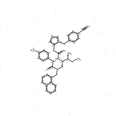 CC[C@H](C)[C@@H](CN(Cc1cccc2ccccc12)C(=S)Nc1ccc(C)cc1)NC(=O)Cc1cncn1Cc1ccc(C#N)cc1